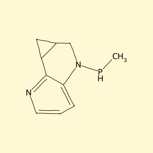 CPN1CC2CC2c2ncccc21